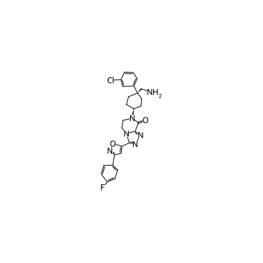 NC[C@]1(c2cccc(Cl)c2)CC[C@H](N2CCn3c(nnc3-c3cc(-c4ccc(F)cc4)no3)C2=O)CC1